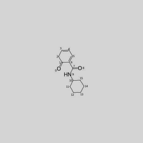 O=C1CC=CC=C1C(=O)NC1CCCCC1